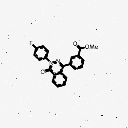 COC(=O)c1cccc(-c2nn(-c3ccc(F)cc3)c(=O)c3ccccc23)c1